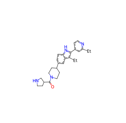 CCc1cc(-c2[nH]c3ccc(C4CCN(C(=O)C5CCNC5)CC4)cc3c2CC)ccn1